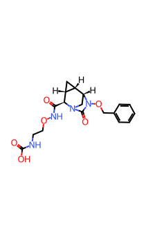 O=C(O)NCCONC(=O)[C@H]1[C@@H]2C[C@@H]2[C@H]2CN1C(=O)N2OCc1ccccc1